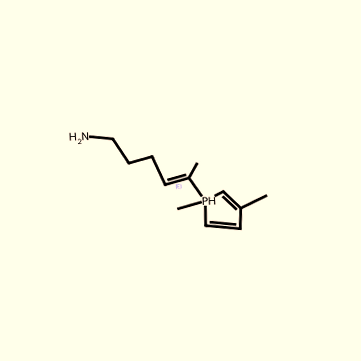 CC1=C[PH](C)(/C(C)=C/CCCN)C=C1